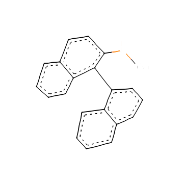 CC(C)(C)Pc1ccc2ccccc2c1-c1cccc2ccccc12